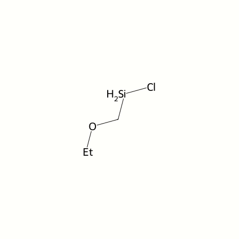 CCOC[SiH2]Cl